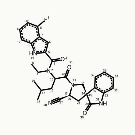 CCN(C(=O)c1cc2c(F)cccc2[nH]1)C(CC(C)C)C(=O)N1C[C@]2(C[C@H]1C#N)C(=O)Nc1ccccc12